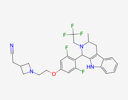 CC1Cc2c([nH]c3ccccc23)C(c2c(F)cc(OCCN3CC(CC#N)C3)cc2F)N1CC(F)(F)F